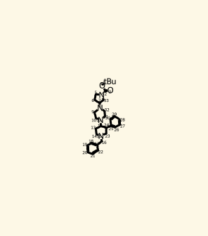 CC(C)(C)OC(=O)N1CCC(N2CCN(C3CCN(Cc4ccccc4)CC3c3ccccc3)CC2)C1